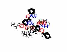 CC[Si](CC)(CC)O[C@@H](CNCC(C(=O)Nc1ccccc1)c1ccc(OC)c(OC)c1)c1ccc(OCc2ccccc2)c(NS(C)(=O)=O)c1